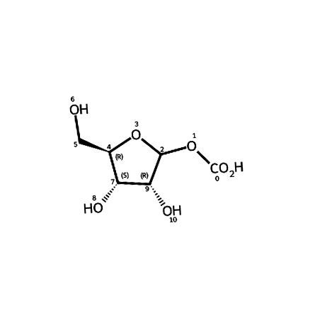 O=C(O)OC1O[C@H](CO)[C@@H](O)[C@H]1O